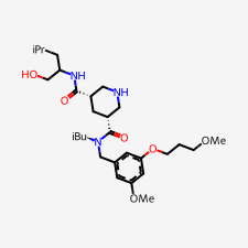 CC[C@H](C)N(Cc1cc(OC)cc(OCCCOC)c1)C(=O)[C@H]1CNC[C@@H](C(=O)NC(CO)CC(C)C)C1